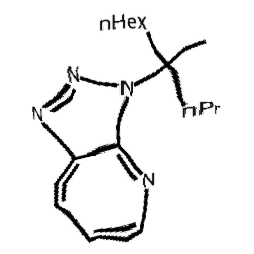 CCCCCCC(C)(CCC)n1nnc2cccnc21